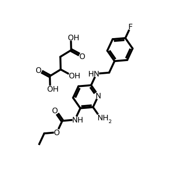 CCOC(=O)Nc1ccc(NCc2ccc(F)cc2)nc1N.O=C(O)CC(O)C(=O)O